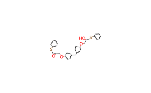 OC(COc1ccc(Cc2ccc(OCC3OC3Sc3ccccc3)cc2)cc1)CSc1ccccc1